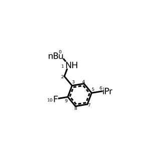 CCCCNCc1cc(C(C)C)ccc1F